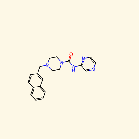 O=C(Nc1cnccn1)N1CCN(Cc2ccc3ccccc3c2)CC1